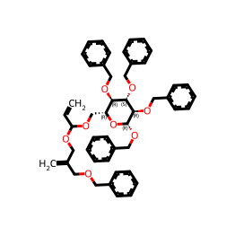 C=CC(OCC(=C)COCc1ccccc1)OC[C@H]1O[C@@H](OCc2ccccc2)[C@H](OCc2ccccc2)[C@@H](OCc2ccccc2)[C@@H]1OCc1ccccc1